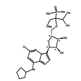 COCC(OC[C@H]1O[C@H](c2ccc3c(NC4CCCC4)nc(Cl)nn23)[C@H](O)[C@@H]1O)(C(O)O)P(=O)(O)O